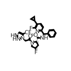 O=C(N[C@@H](c1ccccc1)c1ccc(C2CC2)c(F)n1)[C@@H]1C[C@@H](F)CN1C(=O)CN1NNC=C1C(F)(F)F